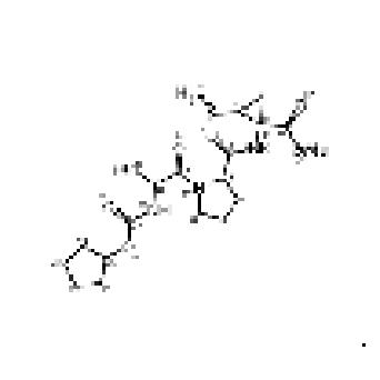 C=CC1C[C@]1(NC(=O)C1CCCN1C(=O)C(NC(=O)OC1CCCC1)C(C)(C)C)C(=O)OC